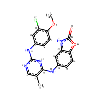 COc1ccc(Nc2ncc(C)c(Nc3ccc4oc(=O)[nH]c4c3)n2)cc1Cl